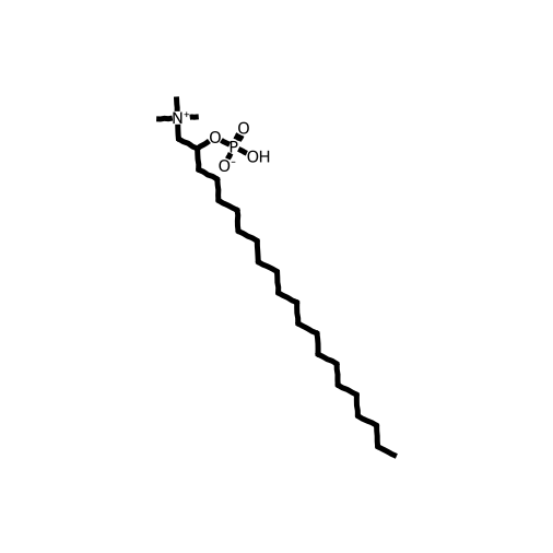 CCCCCCCCCCCCCCCCCCCCC(C[N+](C)(C)C)OP(=O)([O-])O